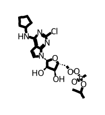 CC(C)OP(C)(=O)OOC[C@H]1O[C@@H](n2ccc3c(NC4CCCC4)nc(Cl)nc32)[C@H](O)[C@@H]1O